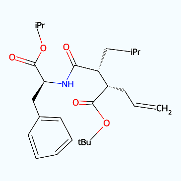 C=CC[C@H](C(=O)OC(C)(C)C)[C@@H](CC(C)C)C(=O)N[C@@H](Cc1ccccc1)C(=O)OC(C)C